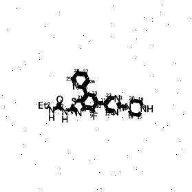 CCNC(=O)Nc1nc2c(F)c(-c3cnc(N4CCNCC4)nc3)cc(-c3ccccn3)c2s1